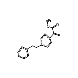 C=C(C(=O)OCCC)c1ccc(CCc2ccccc2)cc1